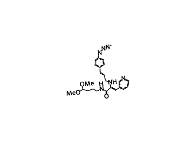 COC(CCCNC(=O)C(=Cc1cccnc1)NCC=Cc1ccc(N=[N+]=[N-])cc1)OC